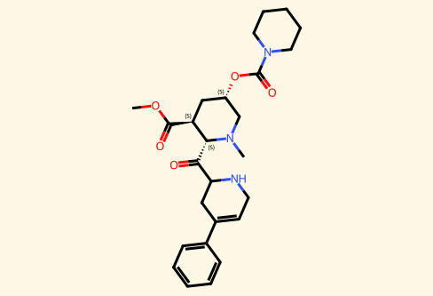 COC(=O)[C@H]1C[C@H](OC(=O)N2CCCCC2)CN(C)[C@@H]1C(=O)C1CC(c2ccccc2)=CCN1